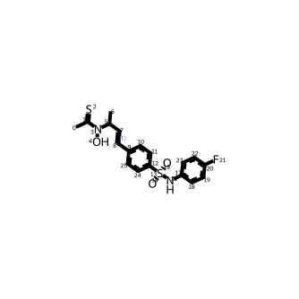 CC(=S)N(O)C(C)/C=C/c1ccc(S(=O)(=O)Nc2ccc(F)cc2)cc1